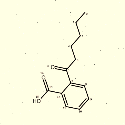 CCCCCC(=O)c1ccccc1C(=O)O